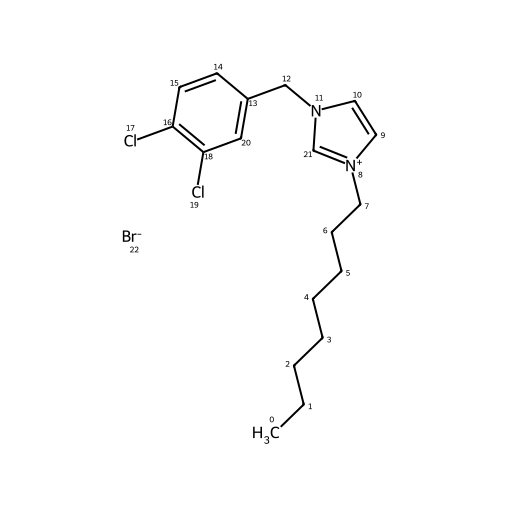 CCCCCCCC[n+]1ccn(Cc2ccc(Cl)c(Cl)c2)c1.[Br-]